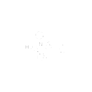 NC(=O)c1c(N(C(=O)O)c2ccccc2)sc2c1CCC1(C2)OCCO1